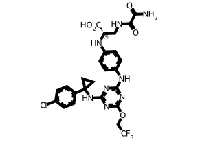 NC(=O)C(=O)NC[C@H](Nc1ccc(Nc2nc(NC3(c4ccc(Cl)cc4)CC3)nc(OCC(F)(F)F)n2)cc1)C(=O)O